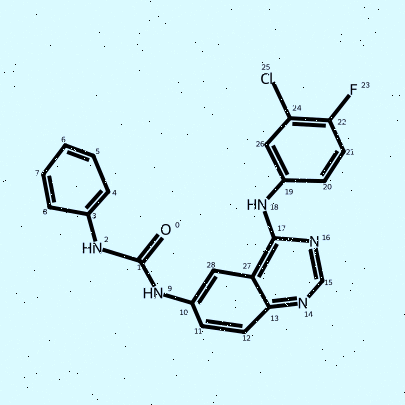 O=C(Nc1ccccc1)Nc1ccc2ncnc(Nc3ccc(F)c(Cl)c3)c2c1